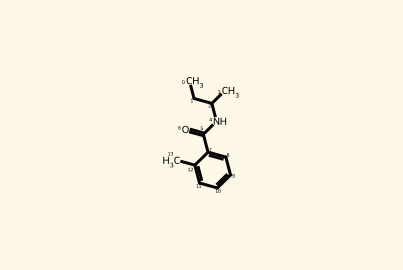 CCC(C)NC(=O)c1ccccc1C